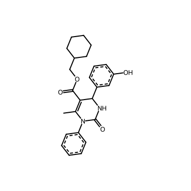 CC1=C(C(=O)OCC2CCCCC2)C(c2cccc(O)c2)NC(=O)N1c1ccccc1